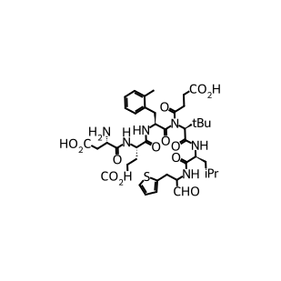 Cc1ccccc1C[C@H](NC(=O)[C@H](CCC(=O)O)NC(=O)[C@@H](N)CC(=O)O)C(=O)N(C(=O)CCC(=O)O)[C@H](C(=O)N[C@@H](CC(C)C)C(=O)NC(C=O)Cc1cccs1)C(C)(C)C